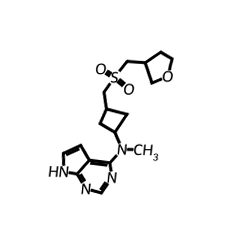 CN(c1ncnc2[nH]ccc12)C1CC(CS(=O)(=O)CC2CCOC2)C1